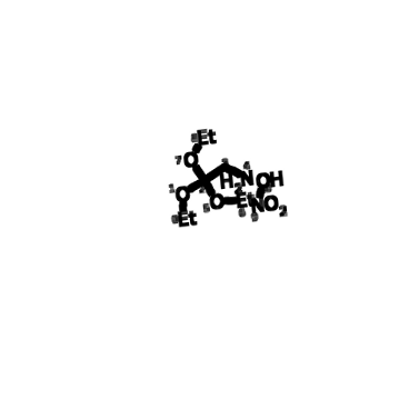 CCOC(CN)(OCC)OCC.O=[N+]([O-])O